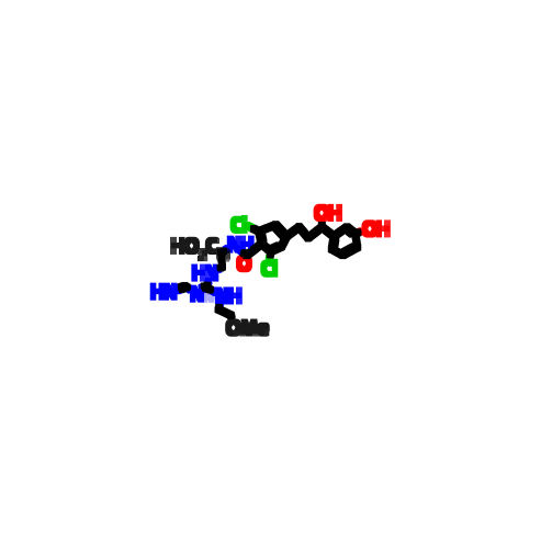 COCCN/C(=N/C=N)NC[C@H](NC(=O)c1c(Cl)cc(CCC(O)c2cccc(O)c2)cc1Cl)C(=O)O